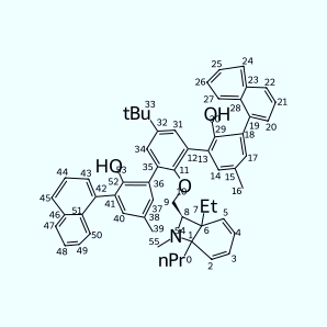 CCCC12C=CC=CC1(CC)[C@H](COc1c(-c3cc(C)cc(-c4cccc5ccccc45)c3O)cc(C(C)(C)C)cc1-c1cc(C)cc(-c3cccc4ccccc34)c1O)N2C